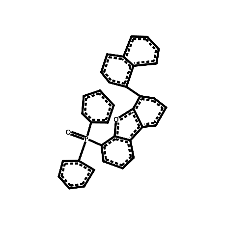 O=P(c1ccccc1)(c1ccccc1)c1cccc2c1oc1c(-c3cccc4ccccc34)cccc12